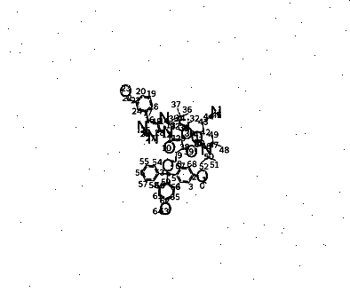 COc1ccc(C(OC[C@H]2O[C@@H](n3cnc4c(-c5cccc(C=O)c5)ncnc43)[C@H](O[Si](C)(C)C(C)(C)C)[C@@H]2OP(OCCC#N)N(C(C)C)C(C)C)(c2ccccc2)c2ccc(OC)cc2)cc1